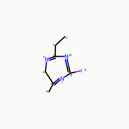 CCC1=NCC(C)=NC(I)=N1